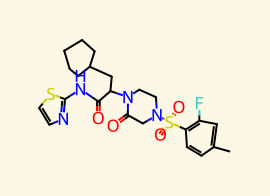 Cc1ccc(S(=O)(=O)N2CCN(C(CC3CCCCC3)C(=O)Nc3nccs3)C(=O)C2)c(F)c1